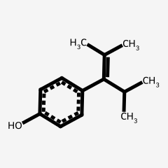 CC(C)=C(c1ccc(O)cc1)C(C)C